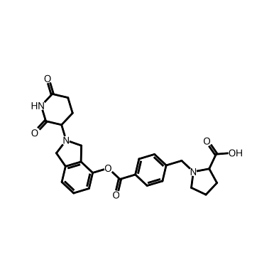 O=C1CCC(N2Cc3cccc(OC(=O)c4ccc(CN5CCCC5C(=O)O)cc4)c3C2)C(=O)N1